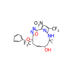 CC1(C)CC(O)C=CC[C@](OCc2ccccc2)(C(F)(F)F)c2nnc(o2)-c2nc(c(C(F)(F)F)cc2[N+](=O)[O-])N1